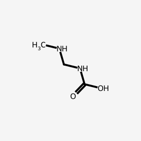 CNCNC(=O)O